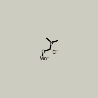 CN(C)C[O][Mn+].[Cl-]